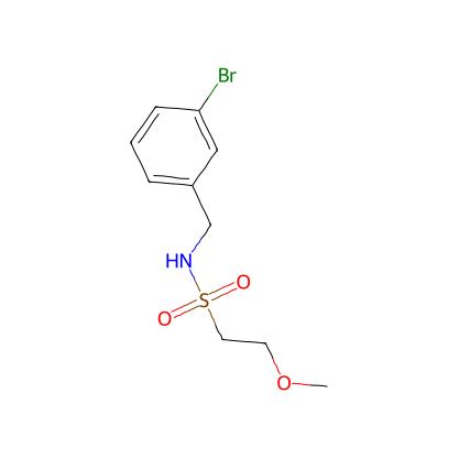 COCCS(=O)(=O)NCc1cccc(Br)c1